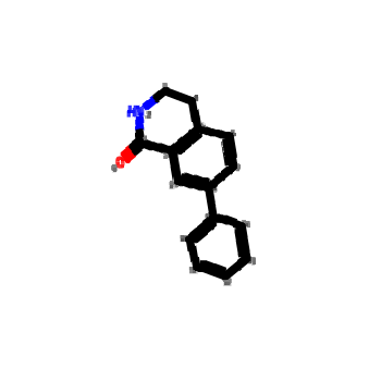 O=C1NCCc2ccc(-c3ccccc3)cc21